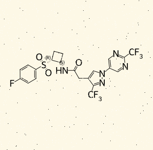 O=C(Cc1cn(-c2cnc(C(F)(F)F)nc2)nc1C(F)(F)F)N[C@H]1CC[C@H]1S(=O)(=O)c1ccc(F)cc1